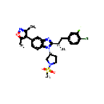 Cc1noc(C)c1-c1ccc2c(c1)nc([C@@H](C)Cc1ccc(Cl)c(F)c1)n2[C@@H]1CCN(S(C)(=O)=O)C1